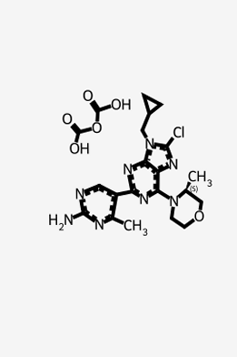 Cc1nc(N)ncc1-c1nc(N2CCOC[C@@H]2C)c2nc(Cl)n(CC3CC3)c2n1.O=C(O)OC(=O)O